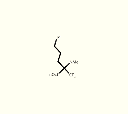 CCCCCCCCC(CCCC(C)C)(NC)C(F)(F)F